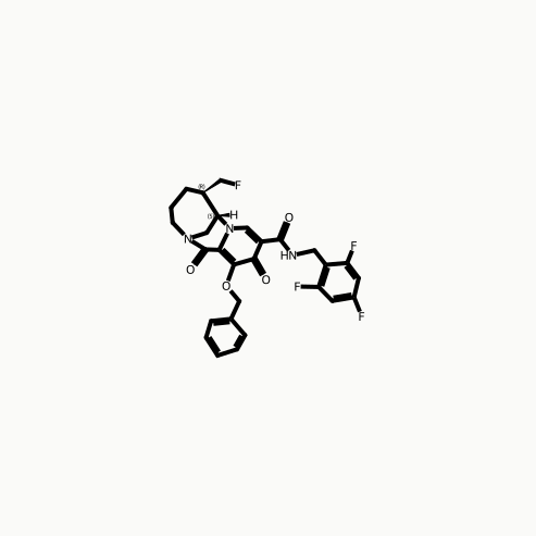 O=C(NCc1c(F)cc(F)cc1F)c1cn2c(c(OCc3ccccc3)c1=O)C(=O)N1CCC[C@@H](CF)[C@H]2C1